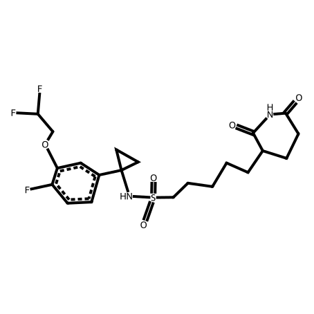 O=C1CCC(CCCCCS(=O)(=O)NC2(c3ccc(F)c(OCC(F)F)c3)CC2)C(=O)N1